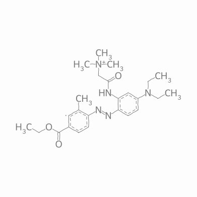 CCOC(=O)c1[c]c(C)c(N=Nc2ccc(N(CC)CC)cc2NC(=O)C[N+](C)(C)C)cc1